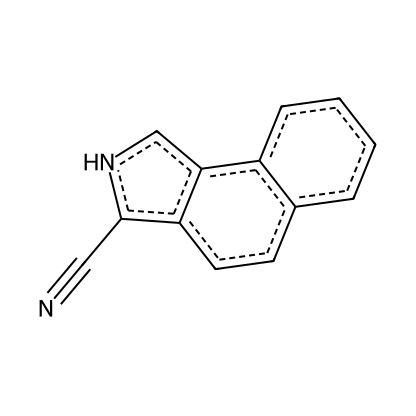 N#Cc1[nH]cc2c1ccc1ccccc12